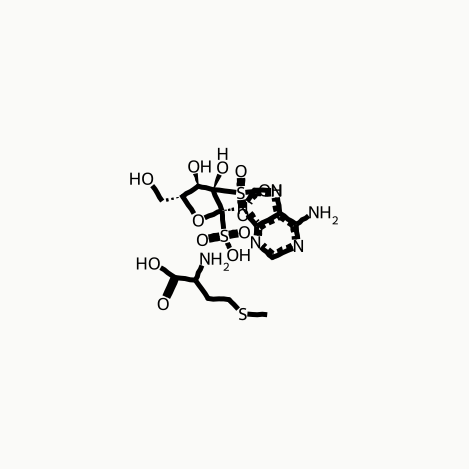 CSCCC(N)C(=O)O.Nc1ncnc2c1ncn2[C@]1(S(=O)(=O)O)O[C@H](CO)[C@@H](O)[C@]1(O)S(=O)(=O)O